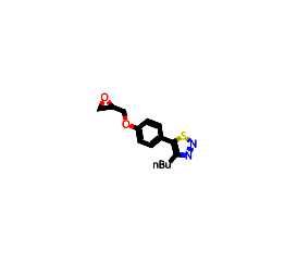 CCCCc1nnsc1-c1ccc(OCC2CO2)cc1